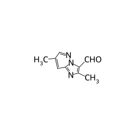 Cc1cnn2c(C=O)c(C)nc2c1